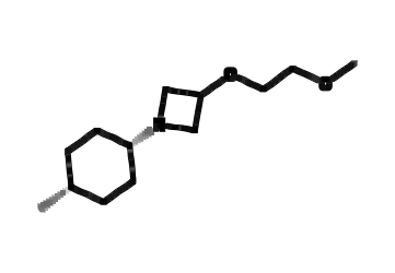 COCCOC1CN([C@H]2CC[C@@H](C)CC2)C1